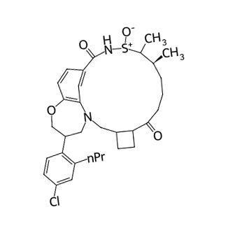 CCCc1cc(Cl)ccc1C1COc2ccc3cc2N(C1)CC1CCC1C(=O)CCC[C@H](C)C(C)[S+]([O-])NC3=O